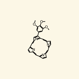 COc1cc(C2=CC3=CC4=NC(=CC5=NC(=CC6=NC(=CC2=N3)C=C6)C=C5)C=C4)cc(OC)c1OC